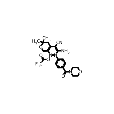 CC1(C)CC2=C(CO1)N(OC(=O)C(F)(F)F)N(c1ccc(C(=O)N3CCOCC3)cc1)C(N)=C2C#N